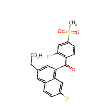 CS(=O)(=O)c1ccc(C(=O)c2cc(CC(=O)O)cc3ccc(F)cc23)c(F)c1